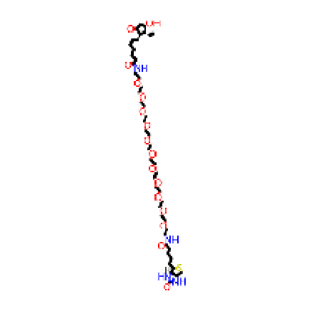 C=C[C@H]1[C@H](O)CC(=O)[C@@H]1C/C=C\CCCC(=O)NCCOCCOCCOCCOCCOCCOCCOCCOCCOCCOCCOCCNC(=O)CCCCC1SCC2NC(=O)N[C@@H]21